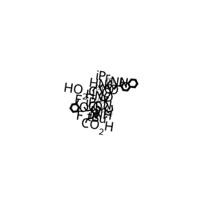 CC(C)[C@H](NC(=O)c1ccc2ccccc2n1)C(=O)N[C@@H](CC(=O)O)C(=O)N[C@H](C(=O)N1CC[C@H](CC(C)(C)C)[C@H]1C(=O)NN(CCC(=O)O)C(=O)COc1c(F)cccc1F)C(C)C